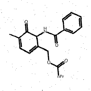 CCCC(=O)OCC1=CC=C(C)C(=O)C1NC(=O)c1ccccc1